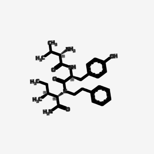 CC[C@H](C)[C@@H](C(N)=O)N(CCc1ccccc1)C(=O)[C@H](Cc1ccc(O)cc1)NC(=O)[C@@H](N)C(C)C